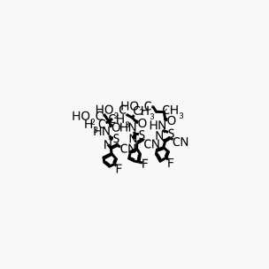 CC(C)(CC(=O)O)C(=O)Nc1nc(-c2cccc(F)c2)c(C#N)s1.CC(CC(=O)O)C(=O)Nc1nc(-c2cccc(F)c2)c(C#N)s1.C[C@@H](CCC(=O)O)C(=O)Nc1nc(-c2cccc(F)c2)c(C#N)s1